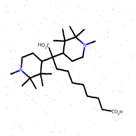 CN1CCC(C(CCCCCCCC(=O)O)(C(=O)O)C2CCN(C)C(C)(C)C2(C)C)C(C)(C)C1(C)C